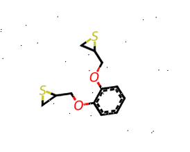 c1ccc(OCC2CS2)c(OCC2CS2)c1